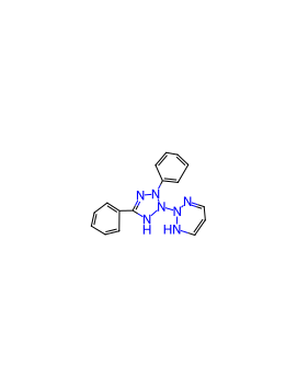 C1=CNN(N2NC(c3ccccc3)=NN2c2ccccc2)N=C1